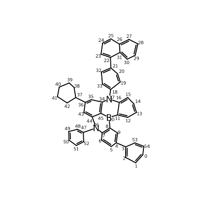 c1ccc(-c2ccc3c(c2)B2c4ccccc4N(c4ccc(-c5cccc6ccccc56)cc4)c4cc(C5CCCCC5)cc(c42)N3c2ccccc2)cc1